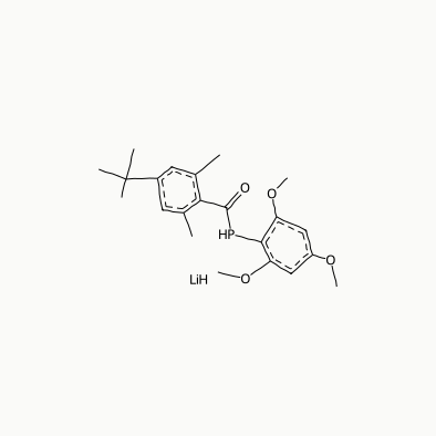 COc1cc(OC)c(PC(=O)c2c(C)cc(C(C)(C)C)cc2C)c(OC)c1.[LiH]